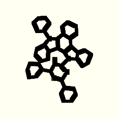 c1ccc(C2=NC(c3ccccc3)NC(n3c4ccccc4c4c5ccccc5c5c(c6ccccc6n5-c5ccccc5)c43)=N2)cc1